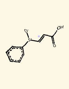 O=C(O)/C=C/[S+]([O-])c1ccccc1